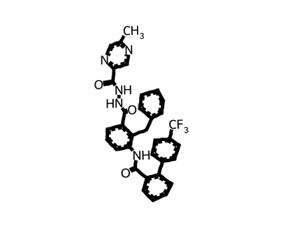 Cc1cnc(C(=O)NNC(=O)c2cccc(NC(=O)c3ccccc3-c3ccc(C(F)(F)F)cc3)c2Cc2ccccc2)cn1